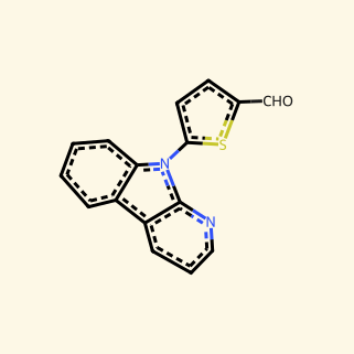 O=Cc1ccc(-n2c3ccccc3c3cccnc32)s1